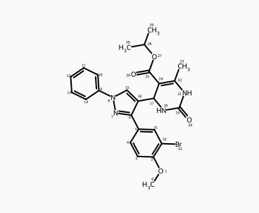 COc1ccc(-c2nn(-c3ccccc3)cc2C2NC(=O)NC(C)=C2C(=O)OC(C)C)cc1Br